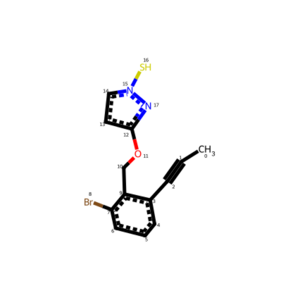 CC#Cc1cccc(Br)c1COc1ccn(S)n1